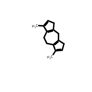 CC1=CCC2=C1CCC1=C(CC=C1C)C2